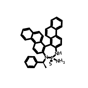 C[C@@H](c1ccccc1)N1c2ccc3c(ccc4ccccc43)c2-c2c(ccc3c2ccc2ccccc23)NP1(N)=S